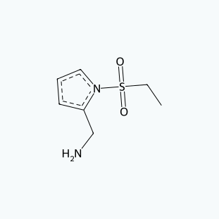 CCS(=O)(=O)n1cccc1CN